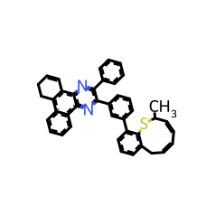 CC1/C=C\C=C/Cc2cccc(-c3cccc(-c4nc5c(nc4-c4ccccc4)c4c(c6ccccc65)CCC=C4)c3)c2S1